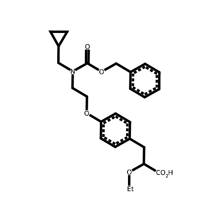 CCOC(Cc1ccc(OCCN(CC2CC2)C(=O)OCc2ccccc2)cc1)C(=O)O